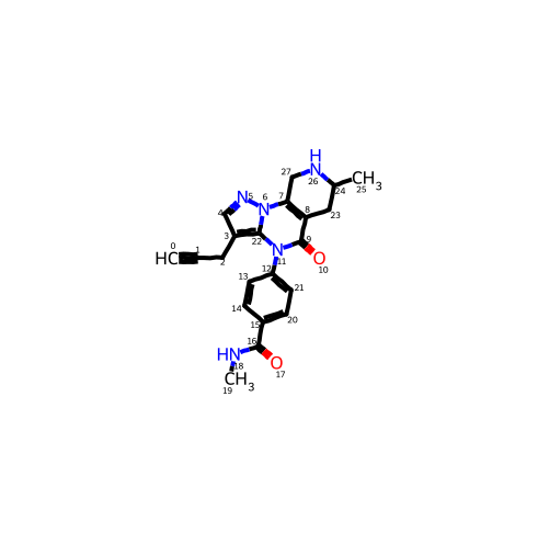 C#CCc1cnn2c3c(c(=O)n(-c4ccc(C(=O)NC)cc4)c12)CC(C)NC3